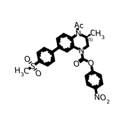 CC(=O)N1c2ccc(-c3ccc(S(C)(=O)=O)cc3)cc2N(C(=O)Oc2ccc([N+](=O)[O-])cc2)C[C@@H]1C